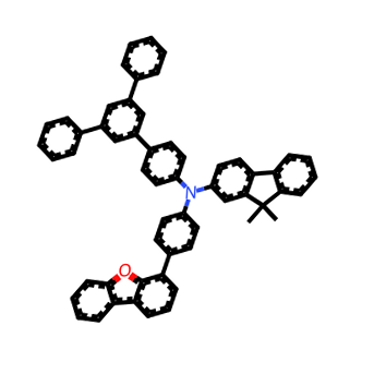 CC1(C)c2ccccc2-c2ccc(N(c3ccc(-c4cc(-c5ccccc5)cc(-c5ccccc5)c4)cc3)c3ccc(-c4cccc5c4oc4ccccc45)cc3)cc21